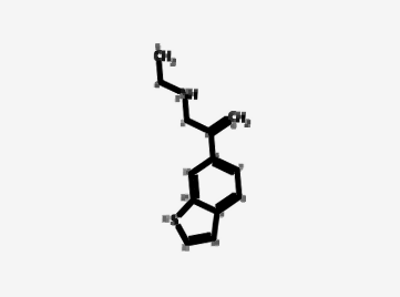 C=C(CNCC)c1ccc2ccsc2c1